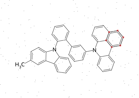 Cc1ccc2c(c1)c1ccccc1n2-c1ccccc1-c1cccc(N(c2ccccc2-c2ccccc2)c2cccc3ccccc23)c1